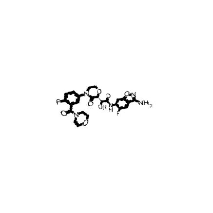 Nc1noc2cc(NC(=O)C(O)[C@H]3OCCN(c4ccc(F)c(C(=O)N5CCOCC5)c4)C3=O)c(F)cc12